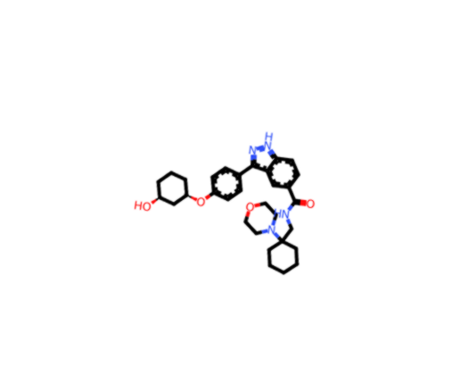 O=C(NCC1(N2CCOCC2)CCCCC1)c1ccc2[nH]nc(-c3ccc(O[C@@H]4CCC[C@H](O)C4)cc3)c2c1